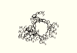 CC[C@H](C)[C@H]1NC(=O)[C@@H](NC(=O)C(CC(C)C)N(C)C(=O)[C@@H](N)C(C)C)[C@@H](C)OC(=O)[C@H](Cc2ccc(OC)cc2)N(C)C(=O)[C@@H]2CCCN2C(=O)[C@H](CC(C)C)NC(=O)[C@H](C(C)C)CC(=O)C[C@@H]1O